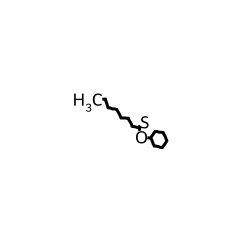 CCCCCCCC(=S)OC1CCCCC1